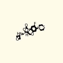 O=C1O[C@@H](CNC2COC2)[C@@H]2COc3cc(N4CCSCC4)c(F)cc3N12